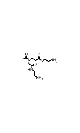 CC(=O)N(CCC(=O)NCCN)CC(=O)NCCN